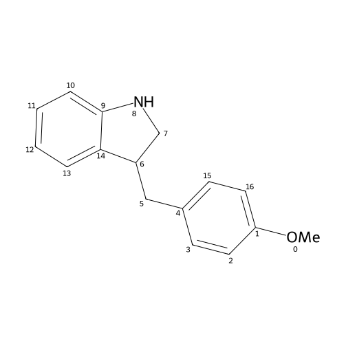 COc1ccc(CC2CNc3ccccc32)cc1